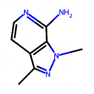 Cc1nn(C)c2c(N)nccc12